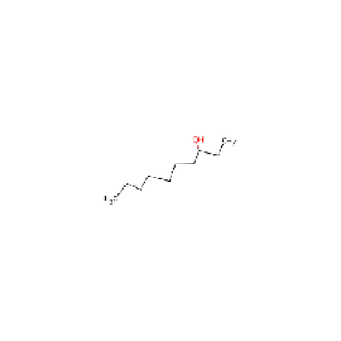 [CH2]CC(O)CCCCCCC